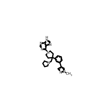 Cn1cc(-c2cccc(C3(CN4CCCC4)CCN(c4ncnc5[nH]cnc45)CC3)c2)cn1